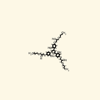 CCCCOCC(O)COc1ccc(C2=CN(c3ccc(OCC(O)COCCCC)cc3O)SC(c3ccc(OCC(O)COCCCC)cc3O)=C2)c(O)c1